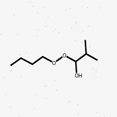 CCCCOOC(O)C(C)C